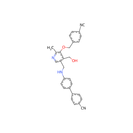 [C-]#[N+]c1ccc(COc2c(C)ncc(CNc3ccc(-c4ccc(C#N)cc4)cc3)c2CO)cc1